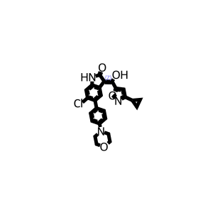 O=C1Nc2cc(Cl)c(-c3ccc(N4CCOCC4)cc3)cc2/C1=C(/O)c1cc(C2CC2)no1